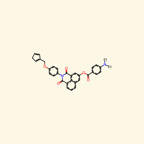 CCN(CC)c1ccc(C(=O)Oc2cc3c4c(cccc4c2)C(=O)N(c2ccc(OCC4=CCC=C4)cc2)C3=O)cc1